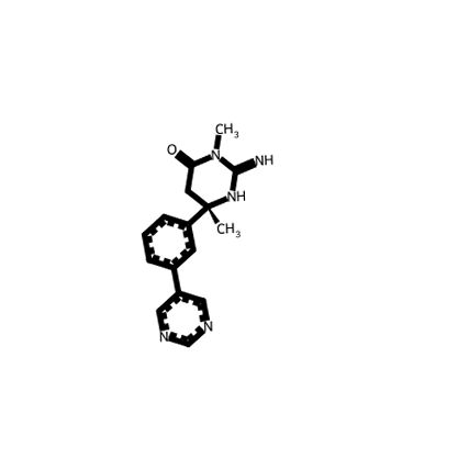 CN1C(=N)N[C@](C)(c2cccc(-c3cncnc3)c2)CC1=O